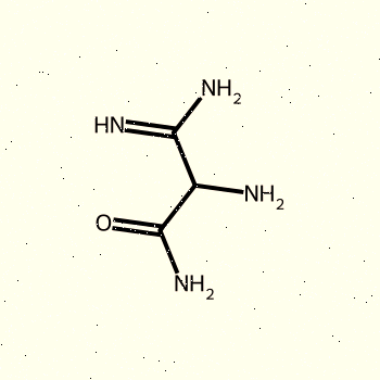 N=C(N)C(N)C(N)=O